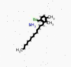 CCCCCCCCCCCCCCc1c(CBr)ccc(C)c1C.N